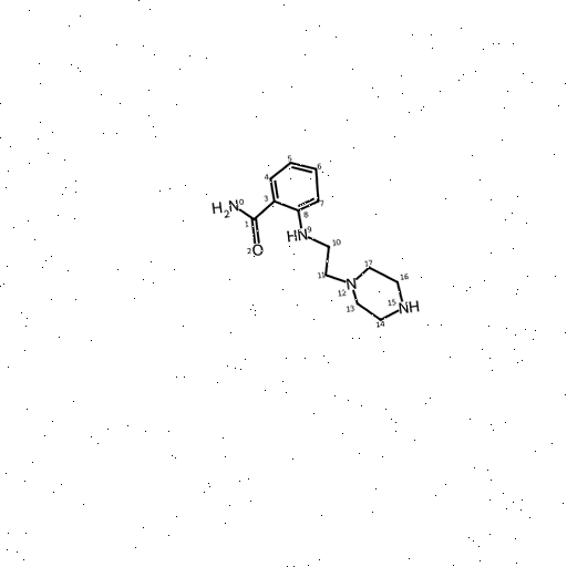 NC(=O)c1ccccc1NCCN1CCNCC1